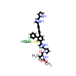 COC(=O)N[C@H](C(=O)N1CCCC1c1ncc(-c2ccc(C#CC#Cc3cnc(C4CCCN4)[nH]3)c(-c3ccccc3)c2S)[nH]1)C(C)C.Cl.Cl.Cl